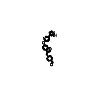 O=CC1CCN(Cc2coc3cc(Oc4ccc(-c5ccn[nH]5)cn4)ccc23)CC1